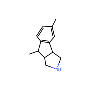 Cc1ccc2c(c1)C1CNCC1C2C